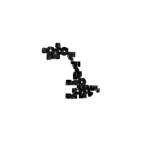 CNC(=O)c1nnc(C2(C(N)=O)CC2)cc1Nc1cccc(-c2ncn(CCNCCCNc3ccc4c(c3)C(=O)N(C3CCC(=O)NC3=O)C4=O)n2)c1OC